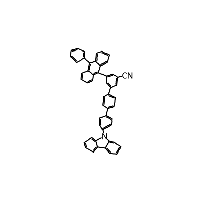 N#Cc1cc(-c2ccc(-c3ccc(-n4c5ccccc5c5ccccc54)cc3)cc2)cc(-c2c3ccccc3c(-c3ccccc3)c3ccccc23)c1